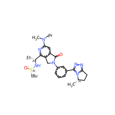 CC[C@@H](N[S@@+]([O-])C(C)(C)C)c1nc(N(C)C(C)C)cc2c1CN(c1cccc(-c3nnc4n3[C@@H](C)CC4)c1)C2=O